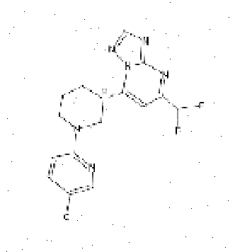 FC(F)c1cc([C@H]2CCCN(c3ccc(Cl)cn3)C2)n2ncnc2n1